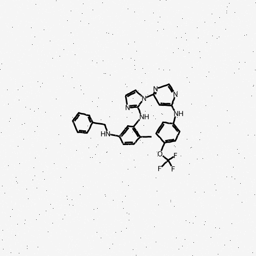 Cc1ccc(NCc2ccccc2)cc1Nc1nccn1-c1cc(Nc2ccc(OC(F)(F)F)cc2)ncn1